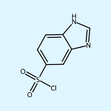 O=S(=O)(Cl)c1ccc2[nH]cnc2c1